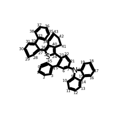 c1cccc(-c2cc(-n3c4ccccc4c4ccccc43)ccc2-c2sc(-c3ccccc3-c3ccccc3)c3c2CCC=C3)c#1